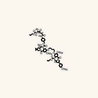 C=CCOC(=O)N[C@H](C(=O)N[C@@H](C)C(=O)Nc1ccc(COC(=O)N2c3cc(OCCCCCOc4cc5c(cc4OC)C(=O)N4C=C(c6ccc(OC)cc6)C[C@H]4CN5C(=O)OCC=C)c(OC)cc3C(=O)N3CC4(CC4)C[C@H]3[C@@H]2O)cc1)C(C)C